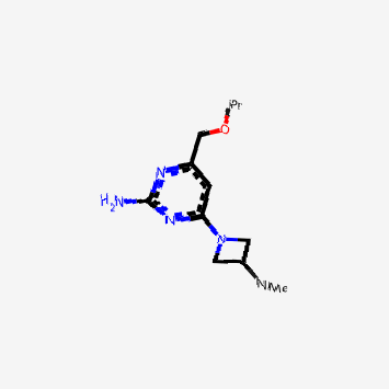 CNC1CN(c2cc(COC(C)C)nc(N)n2)C1